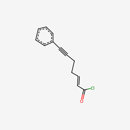 O=C(Cl)/C=C/CCC#Cc1ccccc1